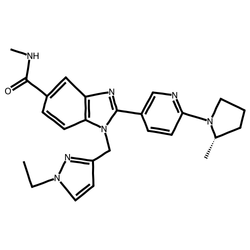 CCn1ccc(Cn2c(-c3ccc(N4CCC[C@@H]4C)nc3)nc3cc(C(=O)NC)ccc32)n1